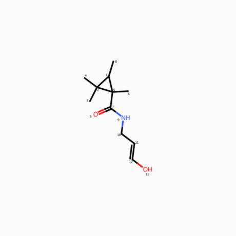 CC1C(C)(C)C1(C)C(=O)NCC=CO